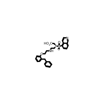 O=C(O)CN(CCNCCOc1ccccc1Cc1ccccc1)S(=O)(=O)c1cccc2cnccc12